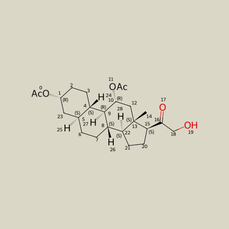 CC(=O)O[C@@H]1CC[C@H]2[C@@H](CC[C@@H]3[C@@H]2[C@H](OC(C)=O)C[C@]2(C)[C@@H](C(=O)CO)CC[C@@H]32)C1